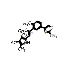 CC(=O)c1c(C)[nH]c(/C=C(\C=O)c2cc(-c3csc(C)n3)ccc2C)c1C